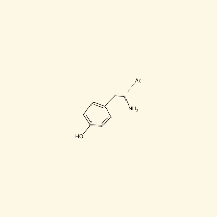 [CH2]C(=O)[C@H](N)Cc1ccc(O)cc1